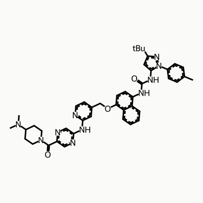 Cc1ccc(-n2nc(C(C)(C)C)cc2NC(=O)Nc2ccc(OCc3ccnc(Nc4cnc(C(=O)N5CCC(N(C)C)CC5)cn4)c3)c3ccccc23)cc1